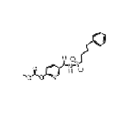 COC(=O)Oc1ccc(C(=O)NS(=O)(=O)CCCCc2ccccc2)cn1